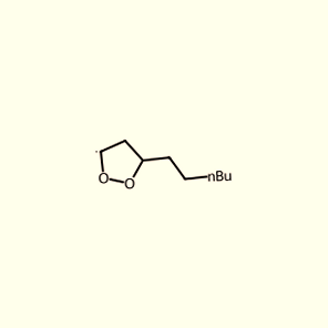 CCCCCCC1C[CH]OO1